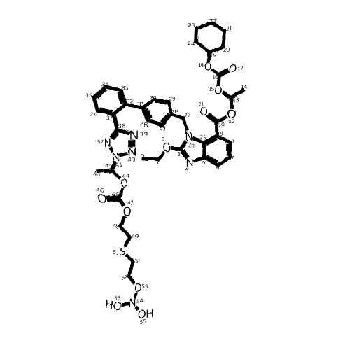 CCOc1nc2cccc(C(=O)OC(C)OC(=O)OC3CCCCC3)c2n1Cc1ccc(-c2ccccc2-c2nnn(C(C)OC(=O)OCCSCCON(O)O)n2)cc1